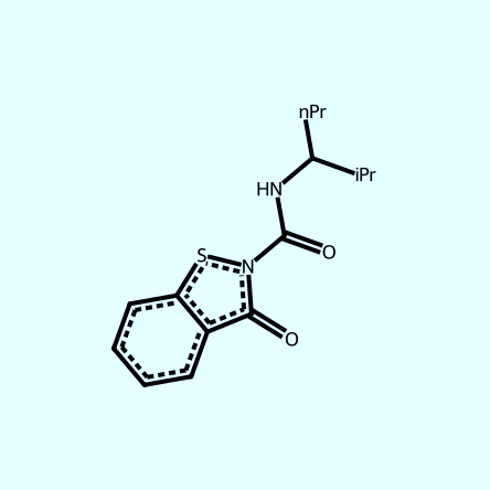 CCCC(NC(=O)n1sc2ccccc2c1=O)C(C)C